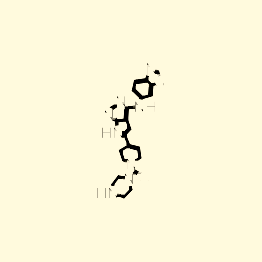 O=C(N1CC=C(c2cc3c(Nc4ccc5ncsc5c4)ncnc3[nH]2)CC1)N1CCNCC1